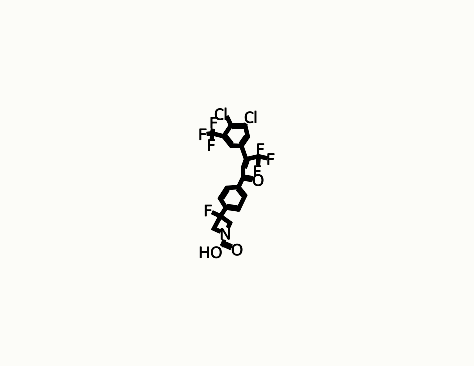 O=C(C=C(c1cc(Cl)c(Cl)c(C(F)(F)F)c1)C(F)(F)F)c1ccc(C2(F)CN(C(=O)O)C2)cc1